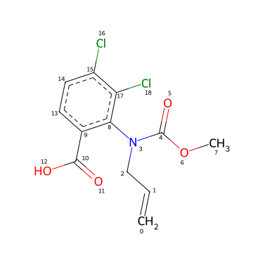 C=CCN(C(=O)OC)c1c(C(=O)O)ccc(Cl)c1Cl